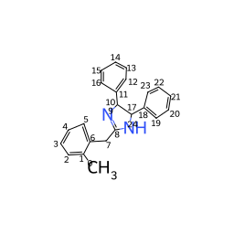 Cc1ccccc1CC1=NC(c2ccccc2)C(c2ccccc2)N1